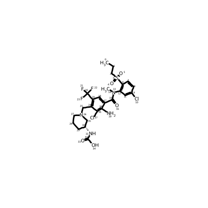 CCCS(=O)(=O)c1ccc(Cl)cc1N(C)C(=O)c1cc(C(F)(F)F)c(CN2CCC[C@@H](NC(=O)O)C2)c(Cl)c1N